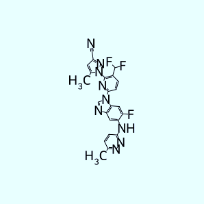 Cc1ccc(Nc2cc3ncn(-c4ccc(C(F)F)c(-n5nc(C#N)cc5C)n4)c3cc2F)nn1